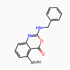 CC(=O)Nc1cccc2nc(NCc3ccccc3)oc(=O)c12